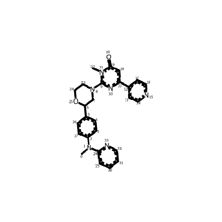 CN(c1ccc(C2CN(c3nc(-c4ccncc4)cc(=O)n3C)CCO2)cc1)c1ccccn1